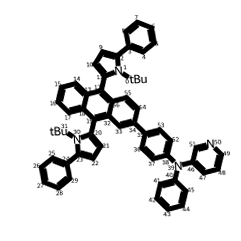 CC(C)(C)n1c(-c2ccccc2)ccc1-c1c2ccccc2c(-c2ccc(-c3ccccc3)n2C(C)(C)C)c2cc(-c3ccc(N(c4ccccc4)c4cccnc4)cc3)ccc12